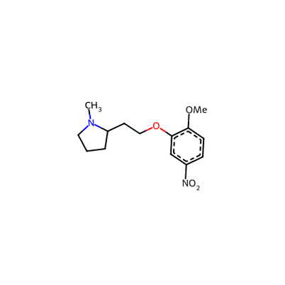 COc1ccc([N+](=O)[O-])cc1OCCC1CCCN1C